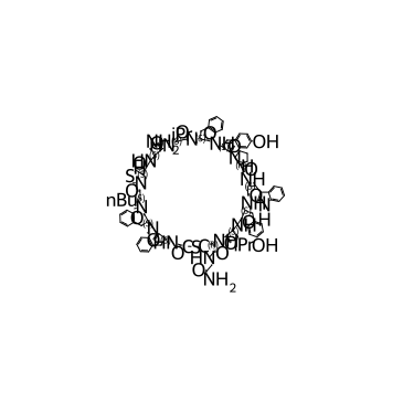 CCCC[C@H]1C(=O)N2CSC[C@@H]2C(=O)N[C@@H](CN)C(=O)N[C@@H](C(C)C)C(=O)N(C)[C@@H](Cc2ccccc2)C(=O)N[C@@H](Cc2ccc(O)cc2)C(=O)N2CCC[C@@H]2C(=O)N[C@@H](Cc2c[nH]c3ccccc23)C(=O)N[C@@H](Cc2ccc(O)cc2)C(=O)N[C@@H](CC(C)C)C(=O)N[C@H](C(=O)NCC(N)=O)CSCC(=O)N[C@@H](Cc2ccccc2)C(=O)N(C)[C@@H](Cc2ccccc2)C(=O)N1C